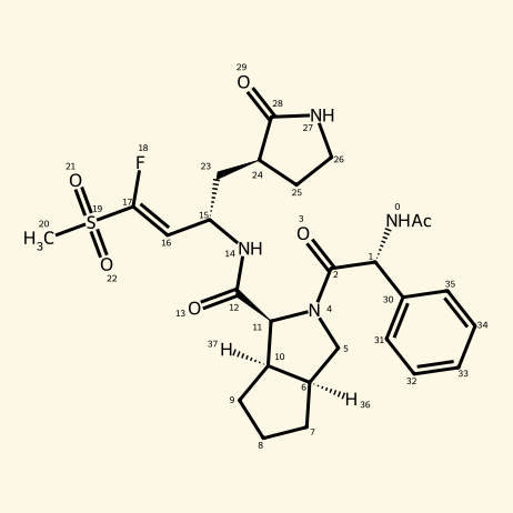 CC(=O)N[C@@H](C(=O)N1C[C@H]2CCC[C@H]2[C@H]1C(=O)N[C@H](/C=C(\F)S(C)(=O)=O)C[C@@H]1CCNC1=O)c1ccccc1